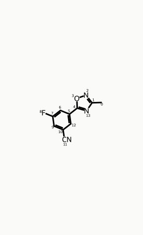 Cc1noc(-c2cc(F)cc(C#N)c2)n1